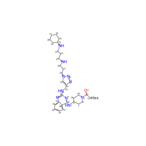 CCCCCCC(=O)N1CCC(Nc2nc(NCc3cn(CCCNCCCNC4CCCCC4)nn3)nc3ccccc23)CC1